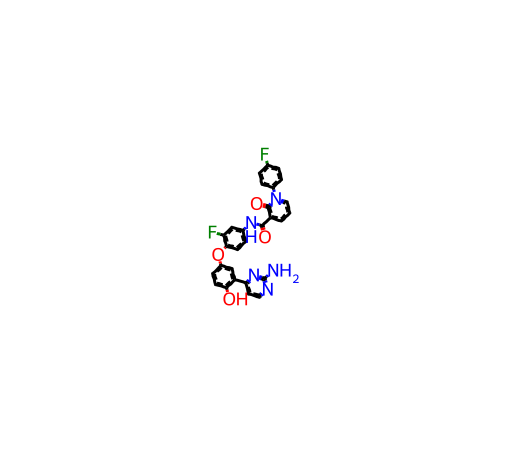 Nc1nccc(-c2cc(Oc3ccc(NC(=O)c4cccn(-c5ccc(F)cc5)c4=O)cc3F)ccc2O)n1